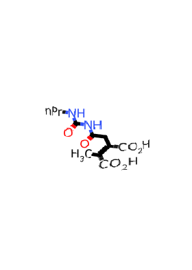 CCCNC(=O)NC(=O)CC(C(=O)O)=C(C)C(=O)O